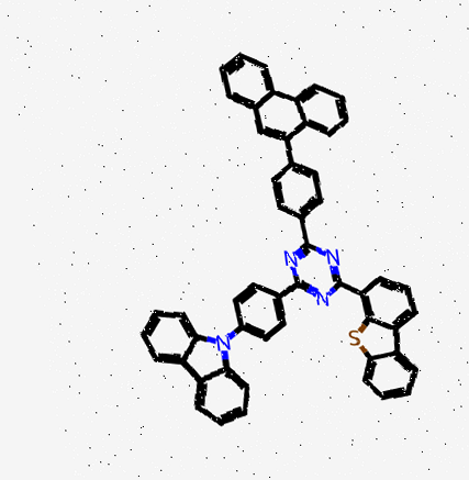 c1ccc2c(c1)cc(-c1ccc(-c3nc(-c4ccc(-n5c6ccccc6c6ccccc65)cc4)nc(-c4cccc5c4sc4ccccc45)n3)cc1)c1ccccc12